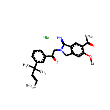 Br.CCOC(=O)C=CC(C)(C)c1cccc(C(=O)CN2Cc3cc(OCC)c(C(=O)NC)cc3C2=N)c1